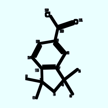 CC1(C)CC(C)(C)c2cc(C(=O)Cl)ccc21